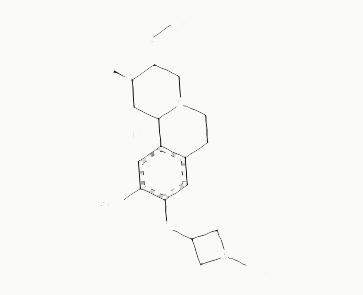 COc1cc2c(cc1OC1CN(C)C1)CCN1C[C@@H](CC(C)(C)C)[C@H](O)C[C@H]21